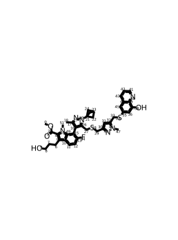 COC(=O)c1c(CCCO)c2ccc(F)c(-c3c(C)nn(C45CC(C4)C5)c3CSCc3cc(CSc4cc(O)c5ncccc5c4)n(C)n3)c2n1C